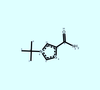 CC(C)(C)[n+]1csc(C(N)=O)c1